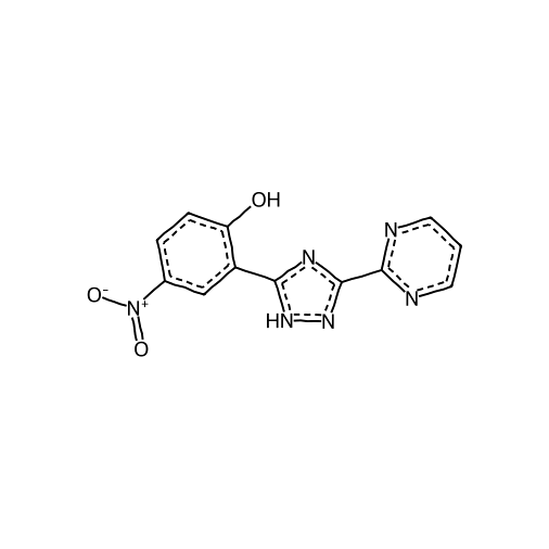 O=[N+]([O-])c1ccc(O)c(-c2nc(-c3ncccn3)n[nH]2)c1